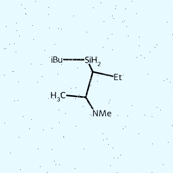 CCC(C)[SiH2]C(CC)C(C)NC